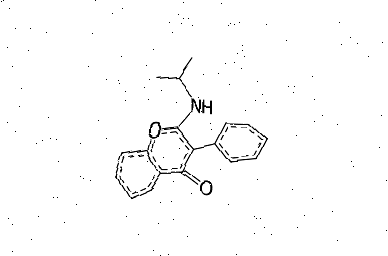 CC(C)Nc1oc2ccccc2c(=O)c1-c1ccccc1